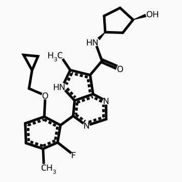 Cc1ccc(OCC2CC2)c(-c2ncnc3c(C(=O)N[C@H]4CC[C@@H](O)C4)c(C)[nH]c23)c1F